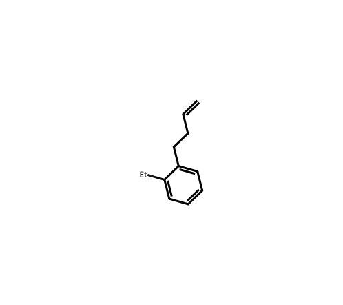 C=CCCc1ccccc1CC